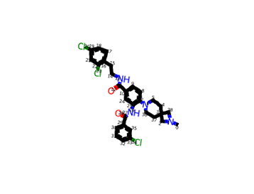 CN1CC2(CCN(c3ccc(C(=O)NCCc4ccc(Cl)cc4Cl)cc3NC(=O)c3cccc(Cl)c3)CC2)C1